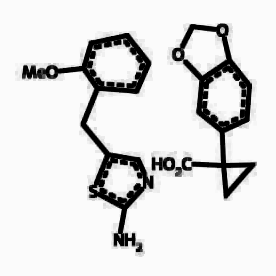 COc1ccccc1Cc1cnc(N)s1.O=C(O)C1(c2ccc3c(c2)OCO3)CC1